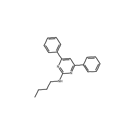 CCCCNc1nc(-c2ccccc2)cc(-c2ccccc2)n1